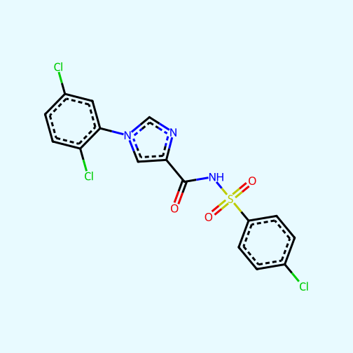 O=C(NS(=O)(=O)c1ccc(Cl)cc1)c1cn(-c2cc(Cl)ccc2Cl)cn1